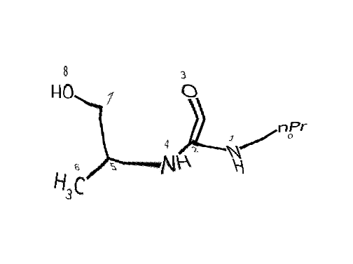 CCCNC(=O)NC(C)CO